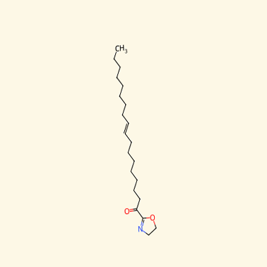 CCCCCCCCC=CCCCCCCCC(=O)C1=NCCO1